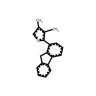 Cc1coc(-c2cccc3c2[CH]c2ccccc2-3)c1C